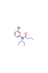 CCCC(=O)N(c1cccc(Br)c1)C(CC)CC